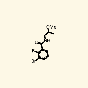 COC(C)CNC(=O)c1cccc(Br)c1F